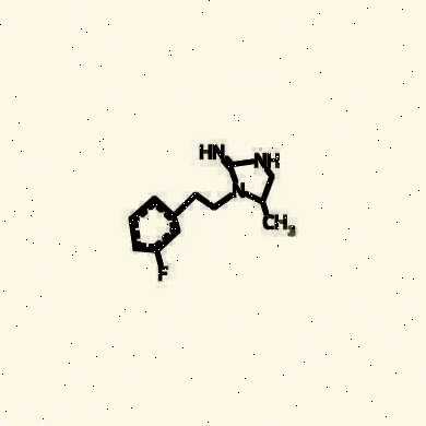 CC1CNC(=N)N1CCc1cccc(F)c1